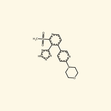 CS(=O)(=O)c1nccc(-c2ccc(N3CCOCC3)nc2)c1-c1nn[nH]n1